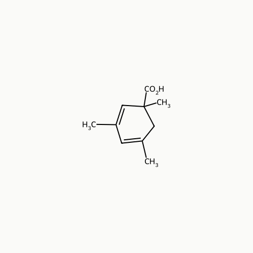 CC1=CC(C)(C(=O)O)CC(C)=C1